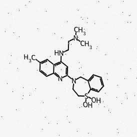 Cc1ccc2nc(N3CCS(O)(O)c4ccccc4C3)cc(NCCN(C)C)c2c1